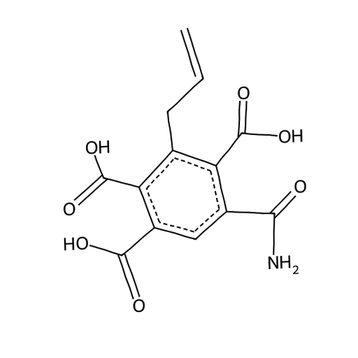 C=CCc1c(C(=O)O)c(C(N)=O)cc(C(=O)O)c1C(=O)O